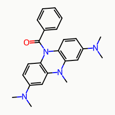 CN(C)c1ccc2c(c1)N(C)c1cc(N(C)C)ccc1N2C(=O)c1ccccc1